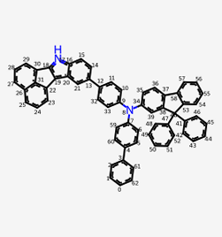 c1ccc(-c2ccc(N(c3ccc(-c4ccc5[nH]c6c(c5c4)-c4cccc5cccc-6c45)cc3)c3ccc4c(c3)C(c3ccccc3)(c3ccccc3)c3ccccc3-4)cc2)cc1